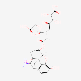 CC[C@]12c3c4ccc(O)c3O[C@H]1C(OC(=O)C[C@H](CC(=O)[C@H](O)[C@@H](O)C(=O)O)C(=O)O[C@@H](C)C(=O)O)=CC[C@@]2(O)[C@H](NC)C4